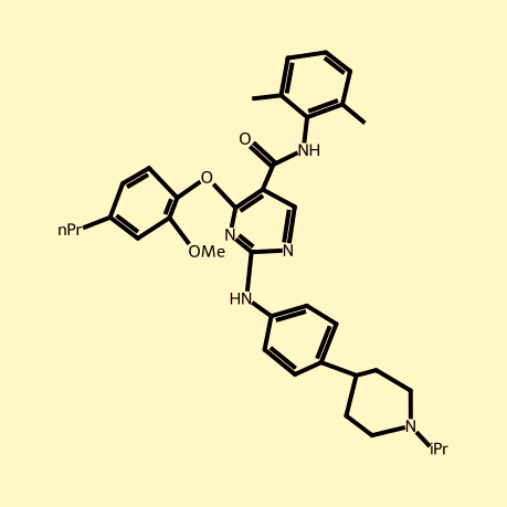 CCCc1ccc(Oc2nc(Nc3ccc(C4CCN(C(C)C)CC4)cc3)ncc2C(=O)Nc2c(C)cccc2C)c(OC)c1